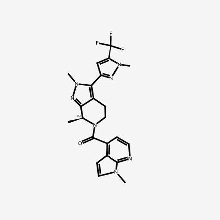 C[C@H]1c2nn(C)c(-c3cc(C(F)(F)F)n(C)n3)c2CCN1C(=O)c1ccnc2c1ccn2C